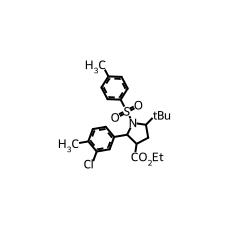 CCOC(=O)C1CC(C(C)(C)C)N(S(=O)(=O)c2ccc(C)cc2)C1c1ccc(C)c(Cl)c1